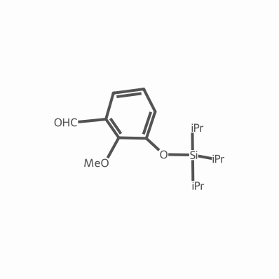 COc1c(C=O)cccc1O[Si](C(C)C)(C(C)C)C(C)C